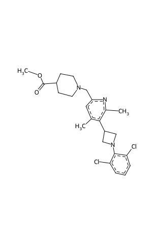 COC(=O)C1CCN(Cc2cc(C)c(C3CN(c4c(Cl)cccc4Cl)C3)c(C)n2)CC1